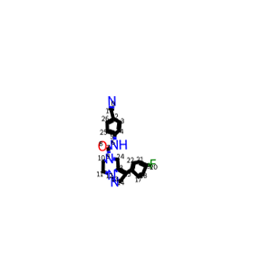 N#Cc1ccc(NC(=O)N2CCn3ncc(-c4ccc(F)cc4)c3C2)cc1